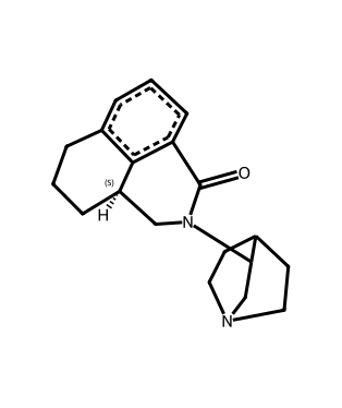 O=C1c2cccc3c2[C@H](CCC3)CN1C1CN2CCC1CC2